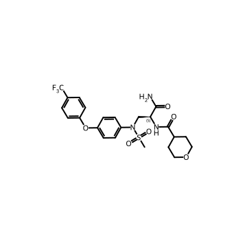 CS(=O)(=O)N(C[C@H](NC(=O)C1CCOCC1)C(N)=O)c1ccc(Oc2ccc(C(F)(F)F)cc2)cc1